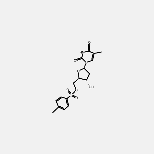 Cc1ccc(S(=O)(=O)OC[C@H]2O[C@@H](n3cc(I)c(=O)[nH]c3=O)C[C@@H]2O)cc1